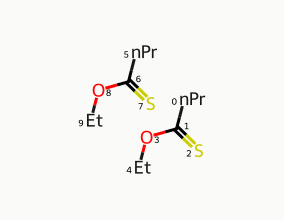 CCCC(=S)OCC.CCCC(=S)OCC